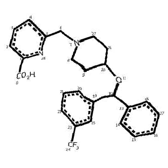 O=C(O)c1cccc(CN2CCC(OC(c3ccccc3)c3cccc(C(F)(F)F)c3)CC2)n1